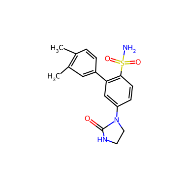 Cc1ccc(-c2cc(N3CCNC3=O)ccc2S(N)(=O)=O)cc1C